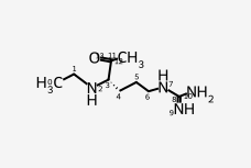 CCN[C@@H](CCCNC(=N)N)C(C)=O